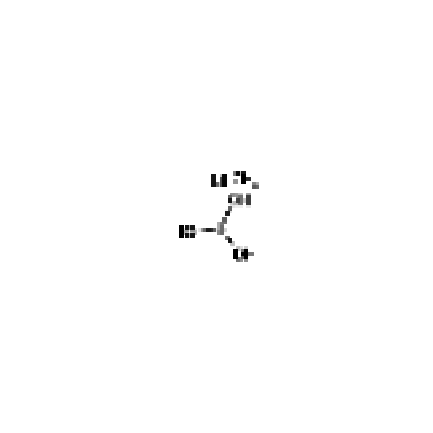 C.OB(O)O.[LiH]